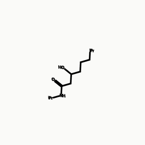 CC(C)CCCC(O)CC(=O)NC(C)C